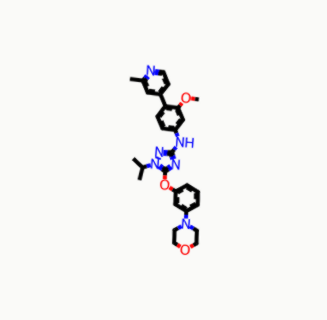 COc1cc(Nc2nc(Oc3cccc(N4CCOCC4)c3)n(C(C)C)n2)ccc1-c1ccnc(C)c1